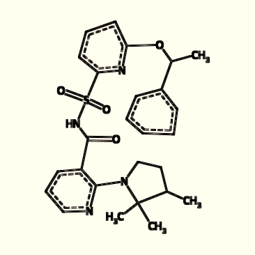 CC(Oc1cccc(S(=O)(=O)NC(=O)c2cccnc2N2CCC(C)C2(C)C)n1)c1ccccc1